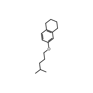 CC(C)CCCOc1ccc2c(c1)CCCC2